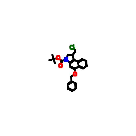 CC(C)(C)OC(=O)N1CC(CCl)c2c1cc(OCc1ccccc1)c1ccccc21